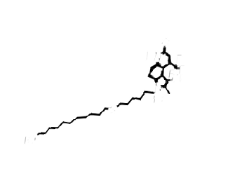 CCc1c(C)c2c3c(C(F)(F)F)cc(=O)[nH]c3ccc2n1CCCCCCSCCCCCCCCCCCO